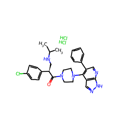 CC(C)NC[C@@H](C(=O)N1CCN(c2c(-c3ccccc3)cnc3[nH]ncc23)CC1)c1ccc(Cl)cc1.Cl.Cl